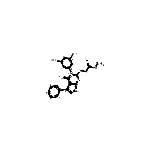 NNC(=O)CSc1nc2scc(-c3ccccc3)c2c(=O)n1-c1cc(F)cc(F)c1